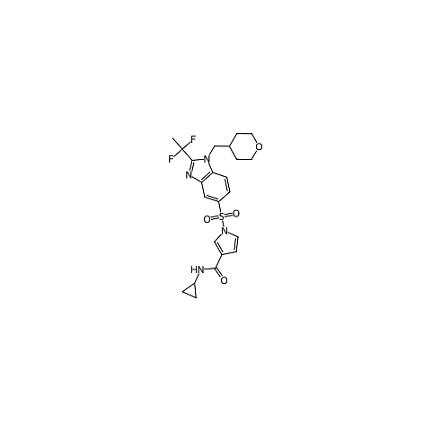 CC(F)(F)c1nc2cc(S(=O)(=O)n3ccc(C(=O)NC4CC4)c3)ccc2n1CC1CCOCC1